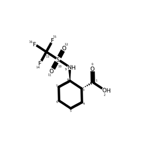 O=C(O)[C@@H]1CCCC[C@H]1NS(=O)(=O)C(F)(F)F